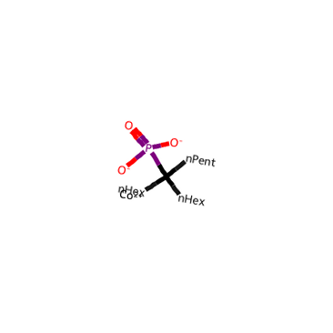 CCCCCCC(CCCCC)(CCCCCC)P(=O)([O-])[O-].[Co+2]